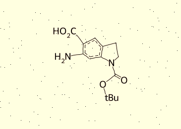 CC(C)(C)OC(=O)N1CCc2cc(C(=O)O)c(N)cc21